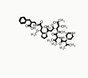 CC[C@H](C)[C@@H](C(CC(=O)N1CCC[C@H]1[C@H](OC)[C@@H](C)C(=O)NCC(Cc1ccccc1)C(=O)O)OC)N(C)C(=O)[C@@H](NC(=O)[C@H](C(C)C)N1CCNCC1)C(C)C